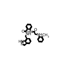 Cc1ccccc1NCC(=O)Nc1ccccc1C(=O)NCc1cccc2cn[nH]c12